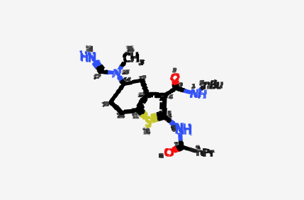 CCCCNC(=O)c1c(NC(=O)CCC)sc2c1CC(N(C)C=N)CC2